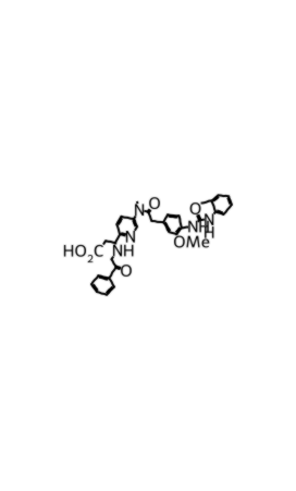 COc1cc(CC(=O)N(C)c2ccc(C(CC(=O)O)NCC(=O)c3ccccc3)nc2)ccc1NC(=O)Nc1ccccc1C